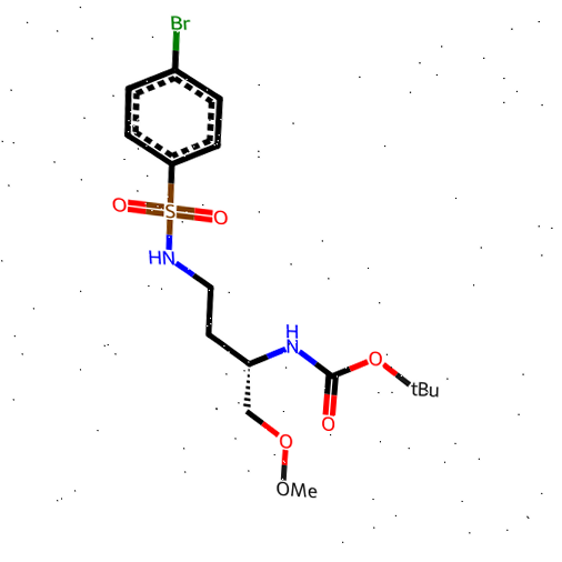 COOC[C@H](CCNS(=O)(=O)c1ccc(Br)cc1)NC(=O)OC(C)(C)C